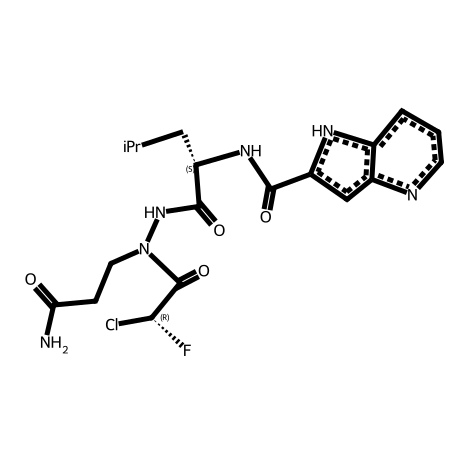 CC(C)C[C@H](NC(=O)c1cc2ncccc2[nH]1)C(=O)NN(CCC(N)=O)C(=O)[C@H](F)Cl